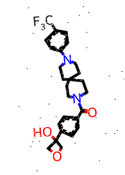 O=C(c1ccc(C2(O)COC2)cc1)N1CCC2(CC1)CCN(c1ccc(C(F)(F)F)cc1)CC2